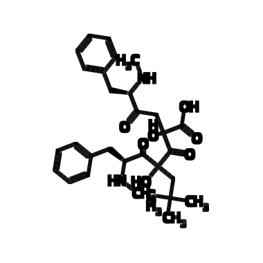 CN[C@@H](Cc1ccccc1)C(=O)C(O)(CC(C)(C)C)C(=O)C(O)(CC(=O)[C@@H](Cc1ccccc1)NC)C(=O)O